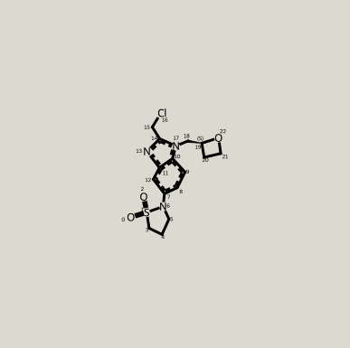 O=S1(=O)CCCN1c1ccc2c(c1)nc(CCl)n2C[C@@H]1CCO1